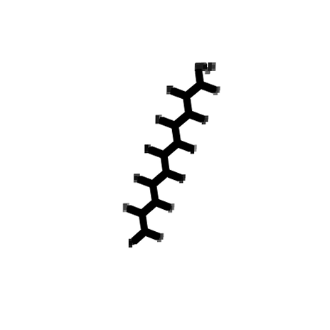 O=S(=O)(O)C(F)C(F)C(F)C(F)C(F)C(F)C(F)C(F)C(F)C(F)C(F)F